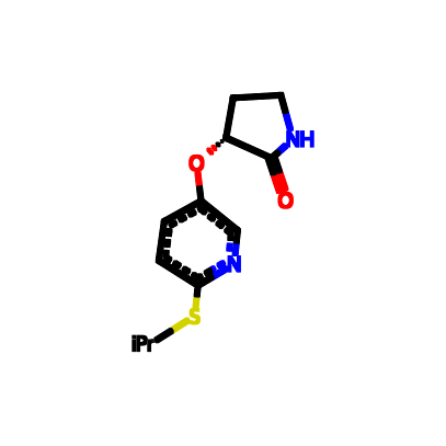 CC(C)Sc1ccc(O[C@@H]2CCNC2=O)cn1